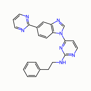 c1ccc(CCNc2nccc(-n3cnc4cc(-c5ncccn5)ccc43)n2)cc1